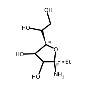 CC[C@@]1(N)O[C@H](C(O)CO)C(O)C1O